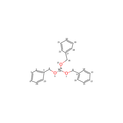 c1ccc(C[O][Ti]([O]Cc2ccccc2)[O]Cc2ccccc2)cc1